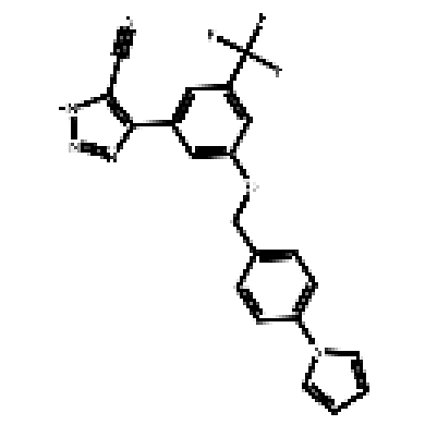 N#Cc1[nH]nnc1-c1cc(OCc2ccc(-n3cccc3)cc2)cc(C(F)(F)F)c1